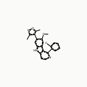 COc1cc2c(cc1-c1c(C)noc1C)[nH]c1ccnc(-c3ccccc3F)c12